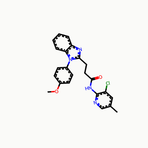 COc1ccc(-n2c(CCC(=O)Nc3ncc(C)cc3Cl)nc3ccccc32)cc1